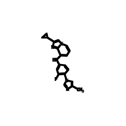 Cc1cn(-c2ccc(Nc3cccn4cc(C5CC5)nc34)cc2F)cn1